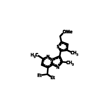 CCC(CC)c1cc(C)nn2c(-c3sc(COC)cc3C)c(C)nc12